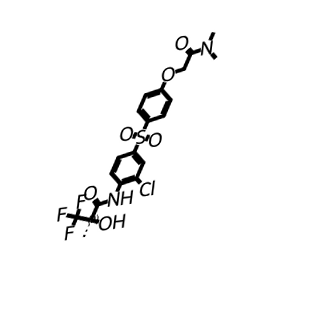 CN(C)C(=O)COc1ccc(S(=O)(=O)c2ccc(NC(=O)[C@@](C)(O)C(F)(F)F)c(Cl)c2)cc1